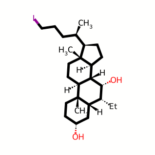 CC[C@H]1[C@@H](O)[C@@H]2[C@H](CC[C@]3(C)[C@@H]([C@H](C)CCCI)CC[C@@H]23)[C@@]2(C)CC[C@@H](O)C[C@@H]12